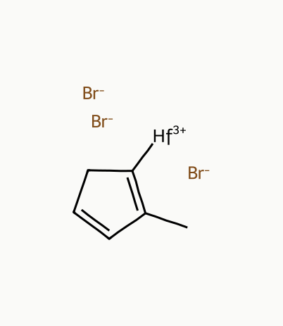 CC1=[C]([Hf+3])CC=C1.[Br-].[Br-].[Br-]